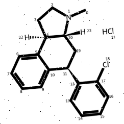 CN1CC[C@@H]2c3ccccc3[C@H](c3ccccc3Cl)C[C@H]21.Cl